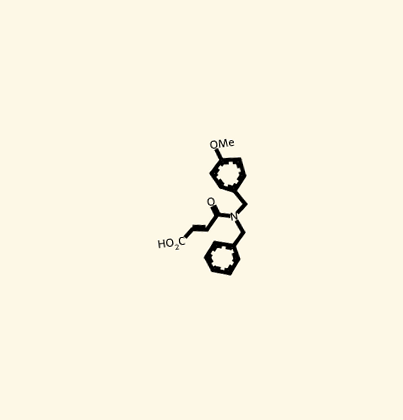 COc1ccc(CN(Cc2ccccc2)C(=O)/C=C/C(=O)O)cc1